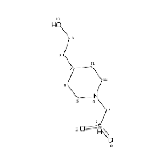 O=[SH](=O)CN1CCC([CH]CO)CC1